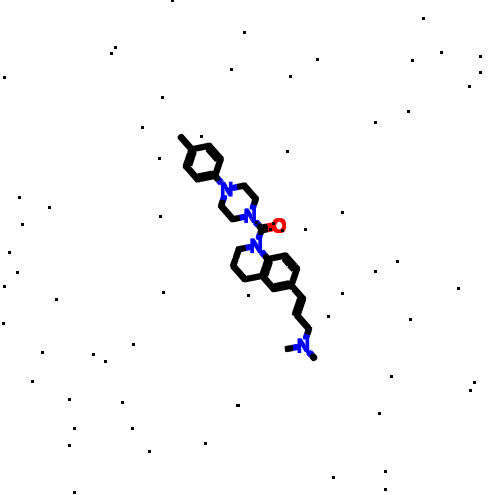 Cc1ccc(N2CCN(C(=O)N3CCCc4cc(C=CCN(C)C)ccc43)CC2)cc1